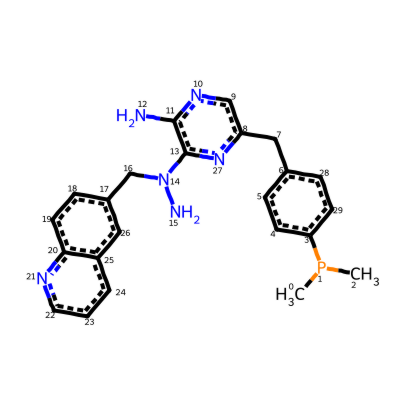 CP(C)c1ccc(Cc2cnc(N)c(N(N)Cc3ccc4ncccc4c3)n2)cc1